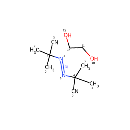 CC(C)(C#N)/N=N/C(C)(C)C#N.OCCO